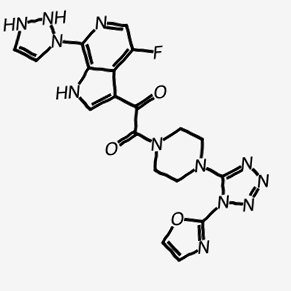 O=C(C(=O)N1CCN(c2nnnn2-c2ncco2)CC1)c1c[nH]c2c(N3C=CNN3)ncc(F)c12